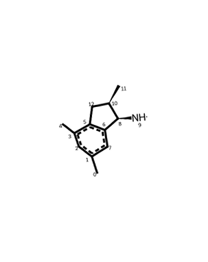 Cc1cc(C)c2c(c1)[C@H]([NH])[C@H](C)C2